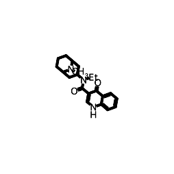 CCN(C(=O)c1c[nH]c2ccccc2c1=O)C1CC2CCCC(C1)N2C